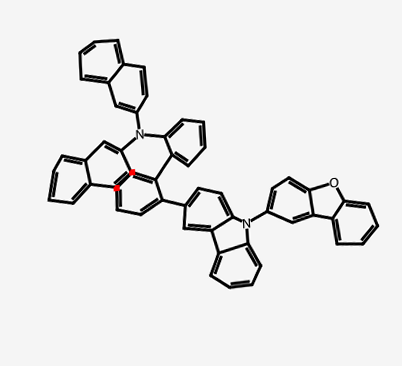 c1ccc(-c2ccccc2N(c2ccc3ccccc3c2)c2ccc3ccccc3c2)c(-c2ccc3c(c2)c2ccccc2n3-c2ccc3oc4ccccc4c3c2)c1